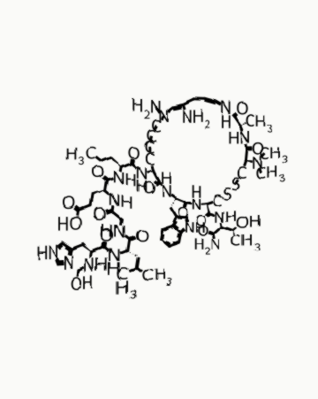 CCC[C@H](NC(=O)[C@H](CCC(=O)O)NC(=O)CNC(=O)[C@H](CC(C)C)NC(=O)[C@H](Cc1c[nH]cn1)NCO)C(=O)N[C@H]1CCCCN(N)/C=C(\N)C/C=C\NC(=O)[C@H](C)NC(=O)[C@@H](N(C)C)CSSC[C@@H](C(=O)NC(C(N)=O)[C@@H](C)O)NC(=O)[C@H](Cc2c[nH]c3ccccc23)NC1=O